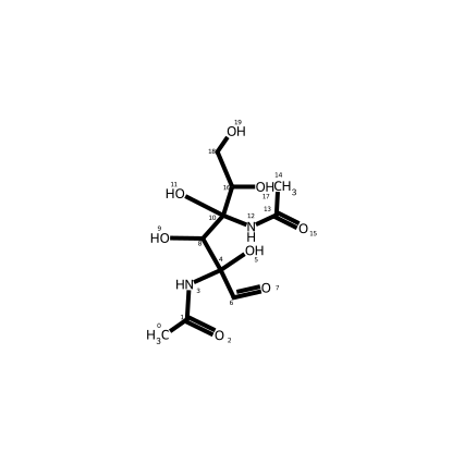 CC(=O)NC(O)(C=O)C(O)C(O)(NC(C)=O)C(O)CO